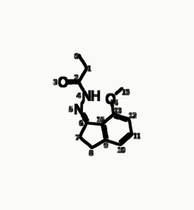 CCC(=O)N/N=C1/CCc2cccc(OC)c21